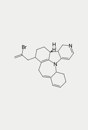 C=C(Br)CC1CC[C@H]2C3=C1CC=C1C=CCCC1N3C1=CC=NC[C@@H]12